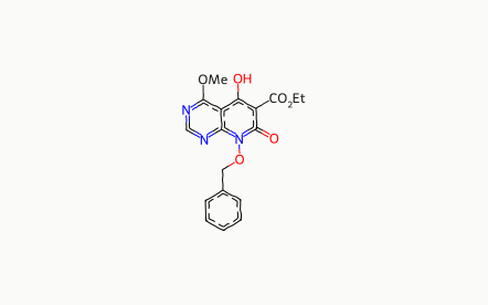 CCOC(=O)c1c(O)c2c(OC)ncnc2n(OCc2ccccc2)c1=O